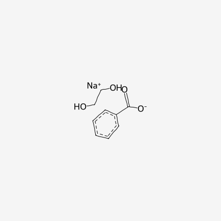 O=C([O-])c1ccccc1.OCCO.[Na+]